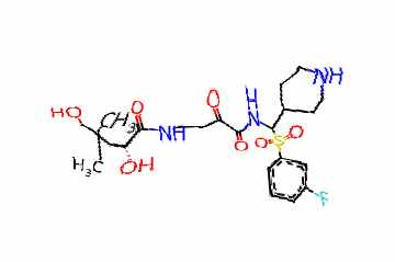 CC(C)(CO)[C@@H](O)C(=O)NCCC(=O)C(=O)NC(C1CCNCC1)S(=O)(=O)c1cccc(F)c1